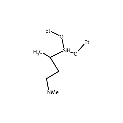 CCO[SiH](OCC)C(C)CCNC